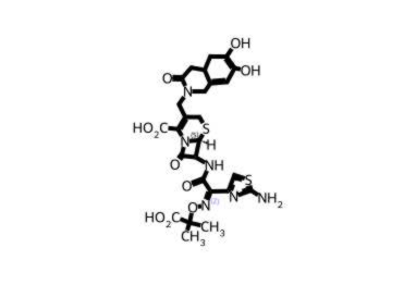 CC(C)(O/N=C(\C(=O)NC1C(=O)N2C(C(=O)O)=C(CN3CC4=CC(O)=C(O)CC4CC3=O)CS[C@@H]12)c1csc(N)n1)C(=O)O